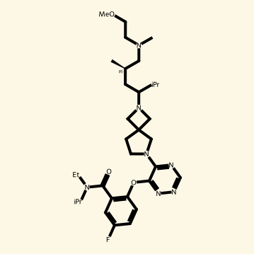 CCN(C(=O)c1cc(F)ccc1Oc1nncnc1N1CCC2(C1)CN(C(C[C@@H](C)CN(C)CCOC)C(C)C)C2)C(C)C